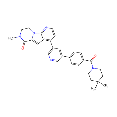 CN1CCn2c(cc3c(-c4cncc(-c5ccc(C(=O)N6CCC(C)(C)CC6)cc5)c4)ccnc32)C1=O